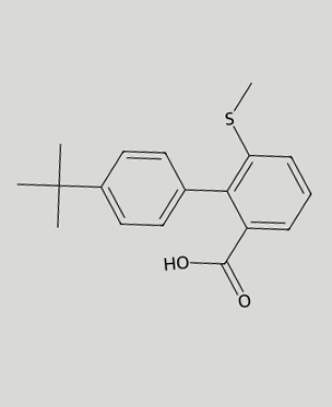 CSc1cccc(C(=O)O)c1-c1ccc(C(C)(C)C)cc1